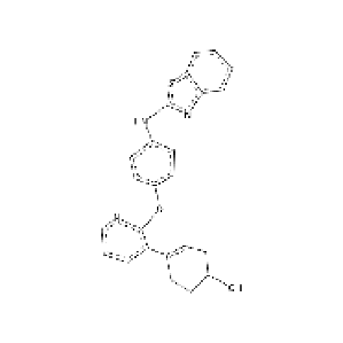 OC1CC=C(c2cccnc2Oc2ccc(Nc3nc4ccccc4s3)cc2)CC1